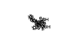 O=C(Nc1ccccc1)N(c1cc(F)c(O)c(F)c1)N(C(=O)Nc1ccc(Oc2ccccc2)cc1)c1cc(F)c(O)c(F)c1